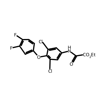 CCOC(=O)C(=O)Nc1cc(Cl)c(Oc2ccc(F)c(F)c2)c(Cl)c1